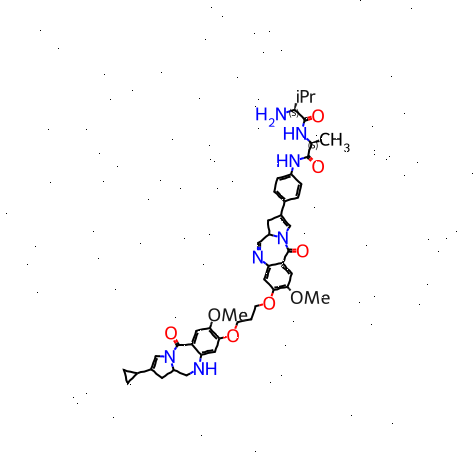 COc1cc2c(cc1OCCCOc1cc3c(cc1OC)C(=O)N1C=C(C4CC4)CC1CN3)N=CC1CC(c3ccc(NC(=O)[C@H](C)NC(=O)[C@@H](N)C(C)C)cc3)=CN1C2=O